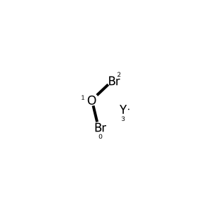 BrOBr.[Y]